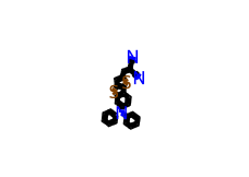 N#CC(C#N)=Cc1cc2sc3cc(N(c4ccccc4)c4ccccc4)ccc3c2s1